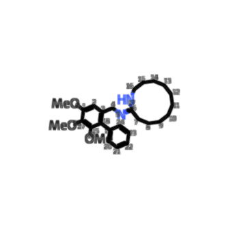 COc1cc(C/N=C2/CCCCCCCCCCN2)c(-c2ccccc2)c(OC)c1OC